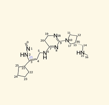 C=NN/C(=C\CNC1=NC(N2CC[C@H](CNC)C2)=NCC1)C1CCCC1